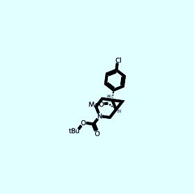 COC[C@]12CN(C(=O)OC(C)(C)C)CC[C@@]1(c1ccc(Cl)cc1)C2